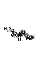 CN1CC2CC(C1)N(C(=O)c1ccc(Nc3nc4c(N5CCC(O)(c6ccc(Cl)cc6)CC5)cccn4n3)cc1)C2